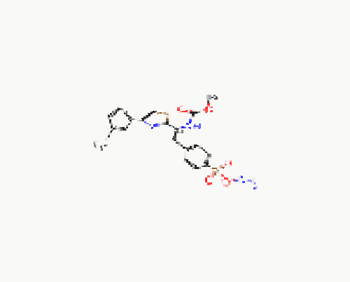 CC(C)(C)OC(=O)N[C@@H](Cc1ccc(S(=O)(=O)ON)cc1)c1nc(-c2cccc(C(F)(F)F)c2)cs1